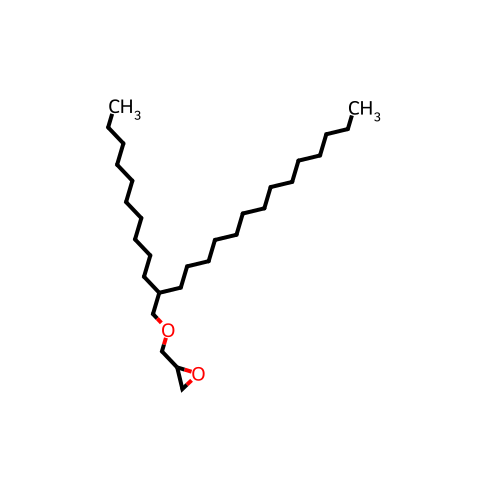 CCCCCCCCCCCCCCC(CCCCCCCCCC)COCC1CO1